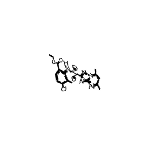 CCOC(=O)c1ccc(Cl)c(C)c1NS(=O)(=O)c1nc2nc(C)cc(C)n2n1